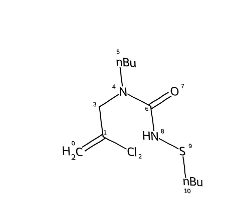 C=C(Cl)CN(CCCC)C(=O)NSCCCC